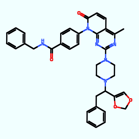 Cc1nc(N2CCN(C(Cc3ccccc3)C3=COCO3)CC2)nc2c1ccc(=O)n2-c1ccc(C(=O)NCc2ccccc2)cc1